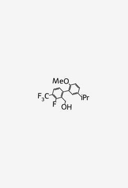 COc1ccc(C(C)C)cc1-c1ccc(C(F)(F)F)c(F)c1CO